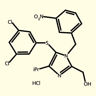 CC(C)c1nc(CO)n(Cc2cccc([N+](=O)[O-])c2)c1Sc1cc(Cl)cc(Cl)c1.Cl